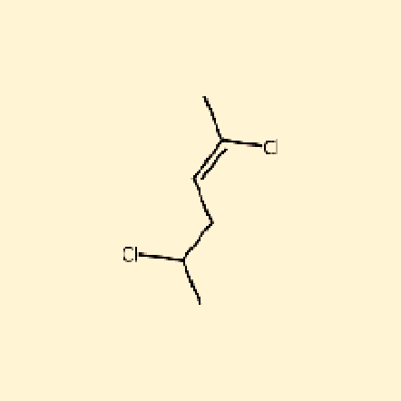 CC(Cl)=CCC(C)Cl